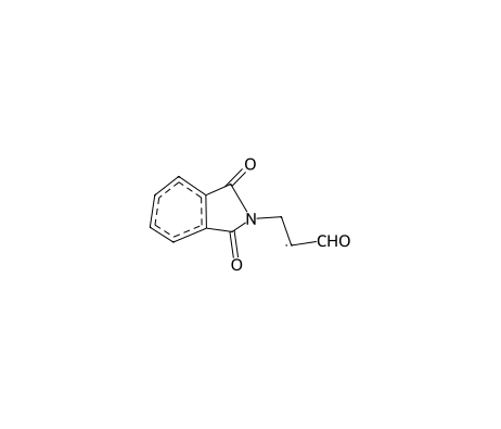 O=C[CH]CN1C(=O)c2ccccc2C1=O